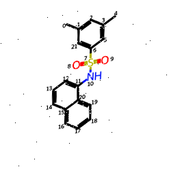 Cc1cc(C)cc(S(=O)(=O)Nc2cccc3ccccc23)c1